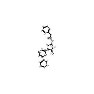 O=C1O[C@H](CNCc2ccccc2)CN1C1=COC=C(C2=CC=CCC2)O1